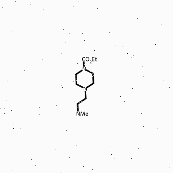 CCOC(=O)N1CCN(CCNC)CC1